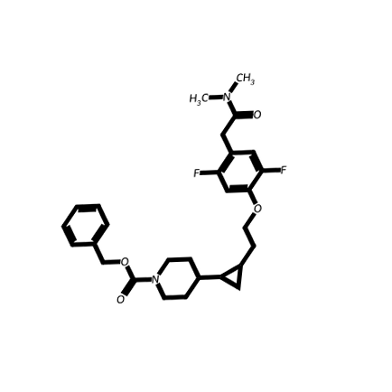 CN(C)C(=O)Cc1cc(F)c(OCCC2CC2C2CCN(C(=O)OCc3ccccc3)CC2)cc1F